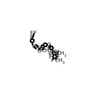 COc1c(F)c(C)c(F)c(F)c1C(=O)Nc1ccc(Oc2ccc3cc(C(=O)N4CCN(Cc5ccc(OCC(F)F)cc5)CC4)n(C)c3c2)nc1